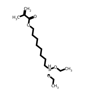 C=C(C)C(=O)OCCCCCCCC[SiH](OCC)OCC